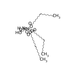 CCCCCCCCC=CCCCCCCCC(=O)OCC(COC(=O)CCCCCCC/C=C\CCCCCCCC)(COC(=O)CCCCCCC/C=C\CCCCCCCC)NC(=O)C(N)CC(=O)O